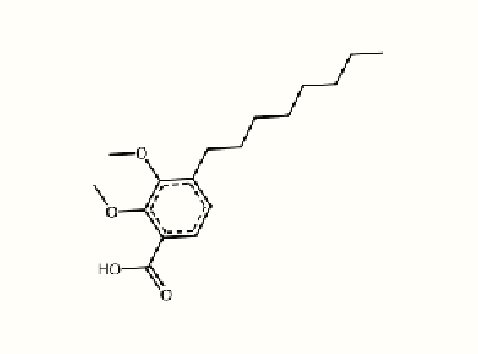 CCCCCCCCc1ccc(C(=O)O)c(OC)c1OC